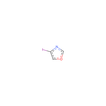 Ic1[c]ocn1